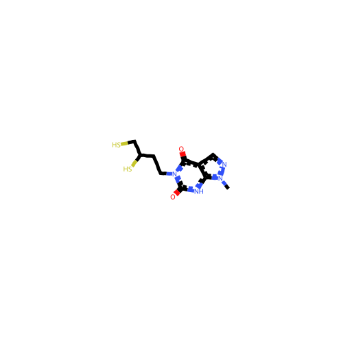 Cn1ncc2c(=O)n(CCC(S)CS)c(=O)[nH]c21